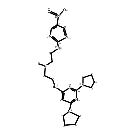 CN(CCNc1cc(N2CCCC2)nc(N2CCCC2)n1)CCNc1ncc([N+](=O)[O-])cn1